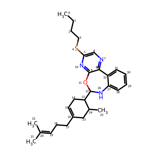 CCCCSc1cnc2c(n1)OC(C1CC=C(CCC=C(C)C)CC1C)Nc1ccccc1-2